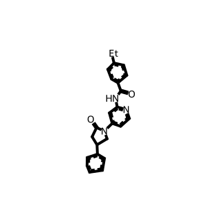 CCc1ccc(C(=O)Nc2cc(N3CC(c4ccccc4)CC3=O)ccn2)cc1